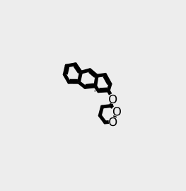 [c]1c(OC2CCCOO2)ccc2cc3ccccc3cc12